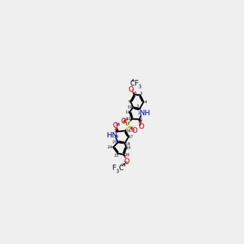 O=c1[nH]c2ccc(OC(F)(F)F)cc2cc1S(=O)(=O)c1cc2cc(OC(F)(F)F)ccc2[nH]c1=O